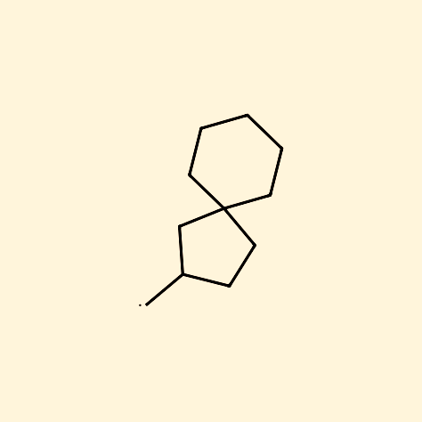 [CH2]C1CCC2(CCCCC2)C1